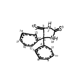 S=C1NC(=S)C(c2ccccc2)(c2ccccc2)N1